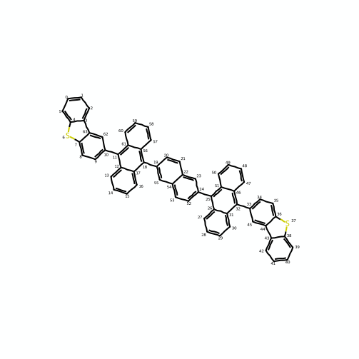 c1ccc2c(c1)sc1ccc(-c3c4ccccc4c(-c4ccc5cc(-c6c7ccccc7c(-c7ccc8sc9ccccc9c8c7)c7ccccc67)ccc5c4)c4ccccc34)cc12